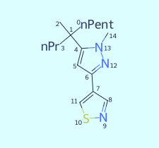 CCCCCC(C)(CCC)c1cc(-c2cnsc2)nn1C